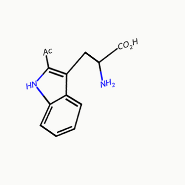 CC(=O)c1[nH]c2ccccc2c1CC(N)C(=O)O